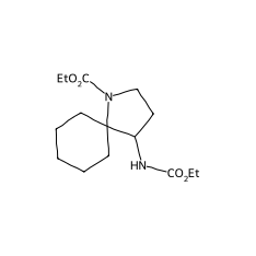 CCOC(=O)NC1CCN(C(=O)OCC)C12CCCCC2